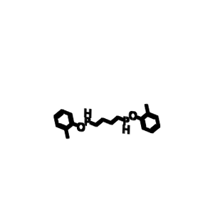 Cc1ccccc1OPCCCCPOc1ccccc1C